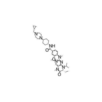 CC[C@@H]1C(=O)N(C)c2cnc(N(C)c3ccc(C(=O)N[C@H]4CC[C@H](N5CCN(CC6CC6)CC5)CC4)cc3OC)nc2N1C(C)C